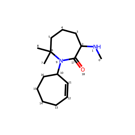 CNC1CCCC(C)(C)N(C2C=CCCCC2)C1=O